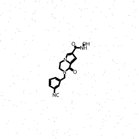 [C-]#[N+]c1cccc(CN2CCn3cc(C(=O)NO)cc3C2=O)c1